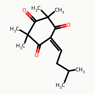 CC(C)CC=C1C(=O)C(C)(C)C(=O)C(C)(C)C1=O